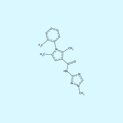 Cc1cc(C(=O)Nc2ncn(C)n2)c(C)n1-c1ccccc1C(F)(F)F